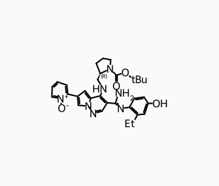 CCc1cc(O)ccc1N=C(N)c1cnn2cc(-c3cccc[n+]3[O-])cc2c1NC[C@H]1CCCN1C(=O)OC(C)(C)C